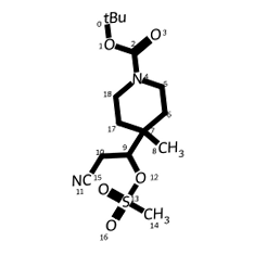 CC(C)(C)OC(=O)N1CCC(C)(C(CC#N)OS(C)(=O)=O)CC1